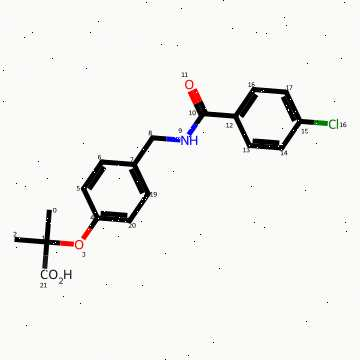 CC(C)(Oc1ccc(CNC(=O)c2ccc(Cl)cc2)cc1)C(=O)O